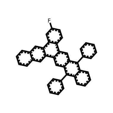 Fc1ccc2c(c1)c1cc3ccccc3cc1c1cc3c(-c4ccccc4)c4ccccc4c(-c4ccccc4)c3cc21